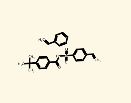 C=Cc1ccc(S(=O)(=O)NC(=O)c2ccc(C(C)(C)C)cc2)cc1.C=Cc1ccccc1